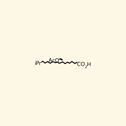 C=COC(C)=O.CC(C)CCCCCCCCCCCCCCCC(=O)O